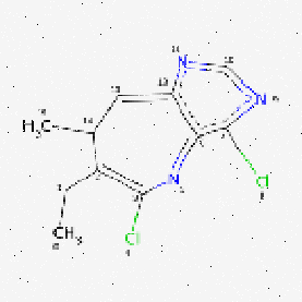 CCC1=C(Cl)N=c2c(Cl)ncnc2=CC1C